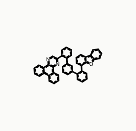 c1cc(-c2ccccc2-c2cnc3c4ccccc4c4ccccc4c3n2)cc(-c2ccccc2-c2cccc3c2oc2ccccc23)c1